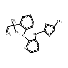 C=CC(C)(C)c1ccccc1Oc1ncccc1Nc1nc(C(F)(F)F)cs1